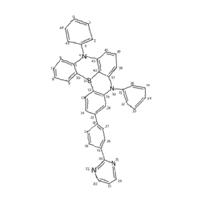 c1ccc(N2c3ccccc3B3c4ccc(-c5ccc(-c6ncccn6)cc5)cc4N(c4ccccc4)c4cccc2c43)cc1